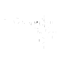 CC(=N)N1C(=N)[C@H](CC(=O)N2CCN(c3ccc(C)cc3)CC2)N=C(c2ccc(Cl)cc2)c2c1sc(C)c2C